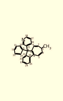 CC1C=CC2=C(C=C1)C(c1ccccc1)(c1cccnc1)c1ccccc12